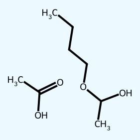 CC(=O)O.CCCCOC(C)O